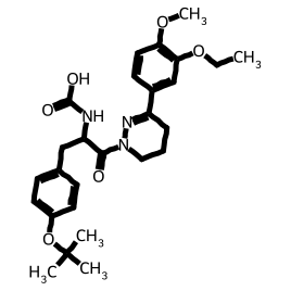 CCOc1cc(C2=NN(C(=O)C(Cc3ccc(OC(C)(C)C)cc3)NC(=O)O)CCC2)ccc1OC